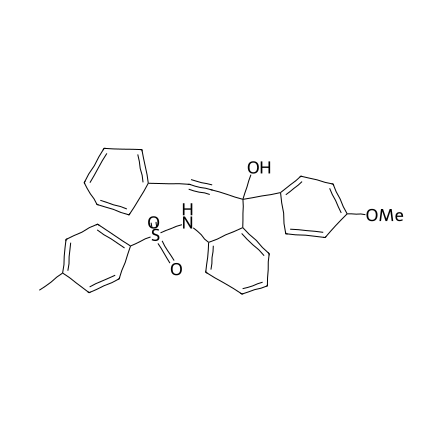 COc1ccc(C(O)(C#Cc2ccccc2)c2ccccc2NS(=O)(=O)c2ccc(C)cc2)cc1